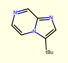 CC(C)(C)c1cnc2cnccn12